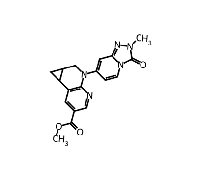 COC(=O)c1cnc2c(c1)C1CC1CN2c1ccn2c(=O)n(C)nc2c1